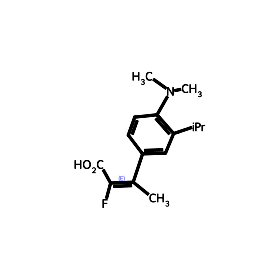 C/C(=C(\F)C(=O)O)c1ccc(N(C)C)c(C(C)C)c1